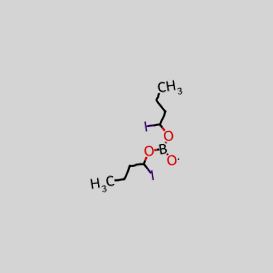 CCCC(I)OB([O])OC(I)CCC